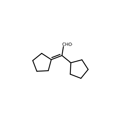 O=[C]C([C]1CCCC1)=C1CCCC1